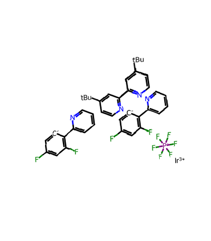 CC(C)(C)c1ccnc(-c2cc(C(C)(C)C)ccn2)c1.F[P-](F)(F)(F)(F)F.Fc1c[c-]c(-c2ccccn2)c(F)c1.Fc1c[c-]c(-c2ccccn2)c(F)c1.[Ir+3]